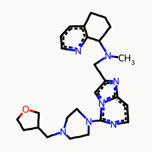 CN(Cc1cn2c(N3CCN(CC4CCOC4)CC3)nccc2n1)C1CCCc2cccnc21